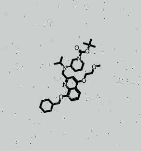 COCCOc1cc(CN(C(C)C)[C@@H]2CCCN(C(=O)OC(C)(C)C)C2)nc2c(OCC3CCCCC3)cccc12